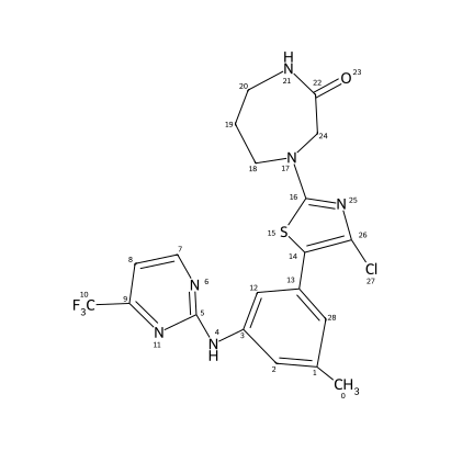 Cc1cc(Nc2nccc(C(F)(F)F)n2)cc(-c2sc(N3CCCNC(=O)C3)nc2Cl)c1